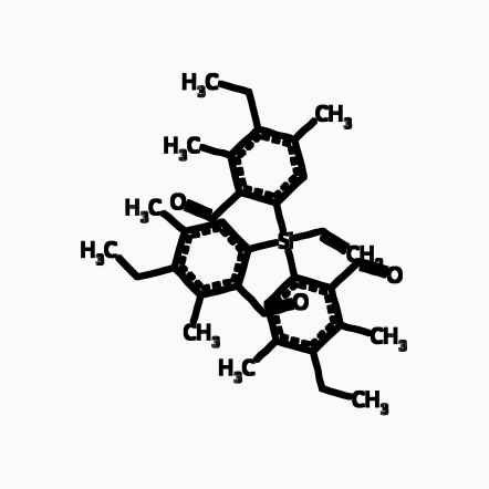 C=C[Si](c1cc(C)c(CC)c(C)c1C=O)(c1cc(C)c(CC)c(C)c1C=O)c1cc(C)c(CC)c(C)c1C=O